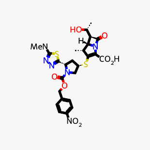 CNc1nnc([C@@H]2C[C@H](SC3=C(C(=O)O)N4C(=O)[C@H]([C@@H](C)O)[C@H]4[C@H]3C)CN2C(=O)OCc2ccc([N+](=O)[O-])cc2)s1